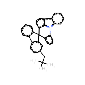 CC(C)(C)Cc1ccc2c(c1)C1(c3ccccc3-2)c2ccccc2-n2c3ccccc3c3cccc1c32